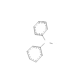 CC(C)[SH](c1ccccc1)c1ccccc1